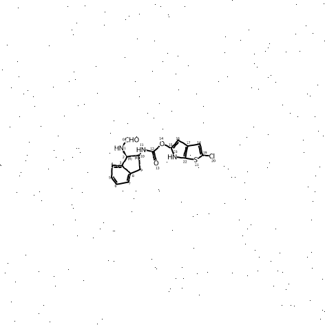 O=CN[C@@H]1c2ccccc2C[C@H]1NC(=O)Oc1cc2cc(Cl)sc2[nH]1